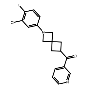 O=C(c1cccnc1)C1CC2(C1)CN(c1ccc(F)c(Cl)c1)C2